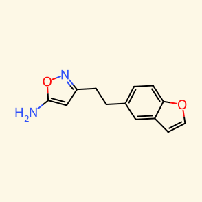 Nc1cc(CCc2ccc3occc3c2)no1